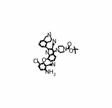 CN1CCc2c(cccc2-c2nc3c(Oc4c(Cl)ccc(N)c4C#N)cccc3c(N3CCN(C(=O)OC(C)(C)C)CC3)c2C#N)C1